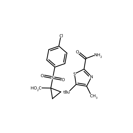 Cc1nc(C(N)=O)sc1C(C)(C)C.O=C(O)C1(S(=O)(=O)c2ccc(Cl)cc2)CC1